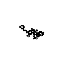 COc1cc2c(C(OC(C)=O)c3ccc4c(c3OC)C=CC(C)(C)O4)ccnc2cc1OCCC1=CCCN=C1